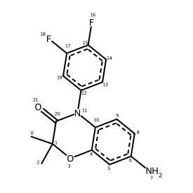 CC1(C)Oc2cc(N)ccc2N(c2ccc(F)c(F)c2)C1=O